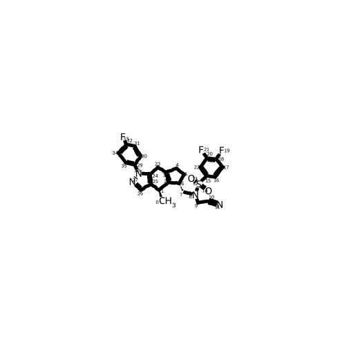 C[C@@H]1C2=C(CC[C@@H]2CN(CC#N)S(=O)(=O)c2ccc(F)c(F)c2)Cc2c1cnn2-c1ccc(F)cc1